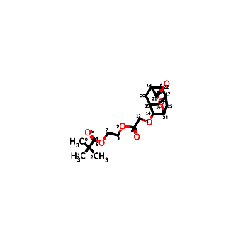 CC(C)(C)C(=O)OCCOC(=O)COC1C2CC3CC(C2)C(=O)OC1C3